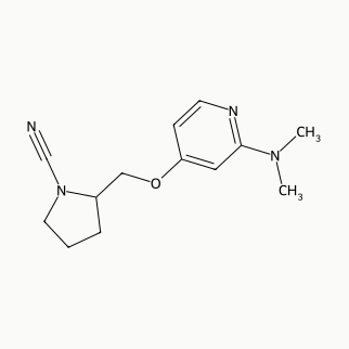 CN(C)c1cc(OCC2CCCN2C#N)ccn1